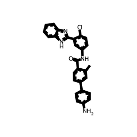 Cc1cc(-c2ccc(N)cc2)ccc1C(=O)Nc1ccc(Cl)c(-c2nc3ccccc3[nH]2)c1